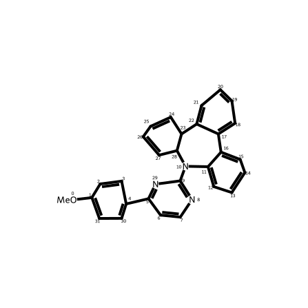 COc1ccc(-c2ccnc(N3c4ccccc4-c4ccccc4C4C=CC=CC43)n2)cc1